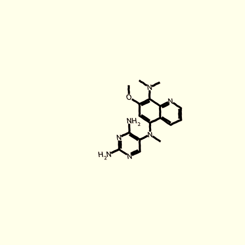 COc1cc(N(C)c2cnc(N)nc2N)c2cccnc2c1N(C)C